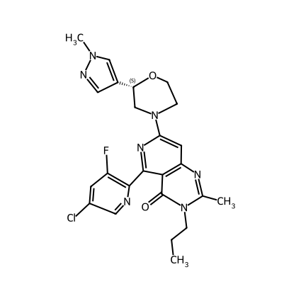 CCCn1c(C)nc2cc(N3CCO[C@@H](c4cnn(C)c4)C3)nc(-c3ncc(Cl)cc3F)c2c1=O